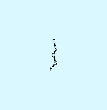 FSOSF